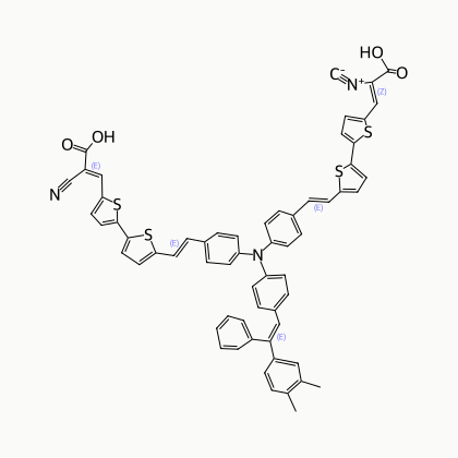 [C-]#[N+]/C(=C\c1ccc(-c2ccc(/C=C/c3ccc(N(c4ccc(/C=C/c5ccc(-c6ccc(/C=C(\C#N)C(=O)O)s6)s5)cc4)c4ccc(/C=C(\c5ccccc5)c5ccc(C)c(C)c5)cc4)cc3)s2)s1)C(=O)O